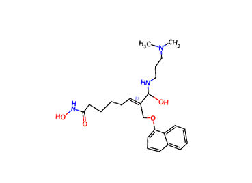 CN(C)CCCNC(O)/C(=C/CCCCC(=O)NO)COc1cccc2ccccc12